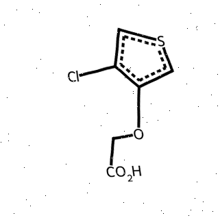 O=C(O)COc1cscc1Cl